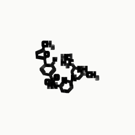 Cc1ccc(-c2ccc(S(=O)(=O)Nc3cccc(N4CC(C)NC(C)C4)n3)cc2F)o1.Cl